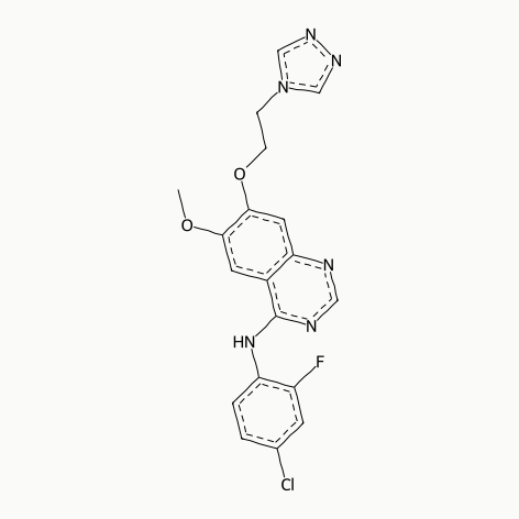 COc1cc2c(Nc3ccc(Cl)cc3F)ncnc2cc1OCCn1cnnc1